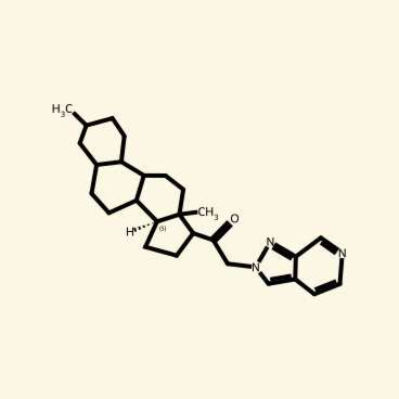 CC1CCC2C(CCC3C2CCC2(C)C(C(=O)Cn4cc5ccncc5n4)CC[C@@H]32)C1